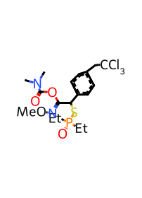 CCP(=O)(CC)SC(C(=NOC)OC(=O)N(C)C)c1ccc(CC(Cl)(Cl)Cl)cc1